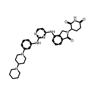 O=C1CCC(N2Cc3c(Nc4ccnc(Nc5cccc(N6CCC(N7CCCCC7)CC6)c5)n4)cccc3C2=O)C(=O)N1